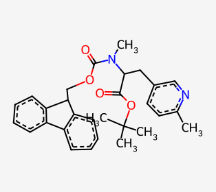 Cc1ccc(CC(C(=O)OC(C)(C)C)N(C)C(=O)OCC2c3ccccc3-c3ccccc32)cn1